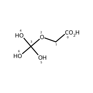 O=C(O)COC(O)(O)O